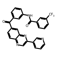 O=C(Nc1cccc(C(=O)c2ccc3ncc(-c4cccnc4)nc3c2)c1)c1cccc(C(F)(F)F)c1